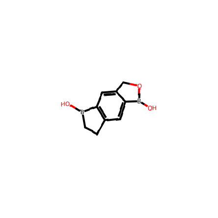 OB1CCc2cc3c(cc21)COB3O